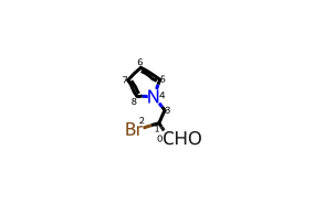 O=CC(Br)Cn1cccc1